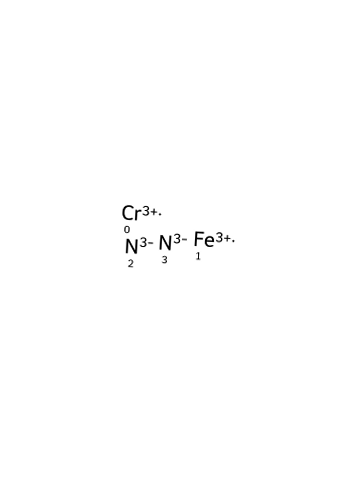 [Cr+3].[Fe+3].[N-3].[N-3]